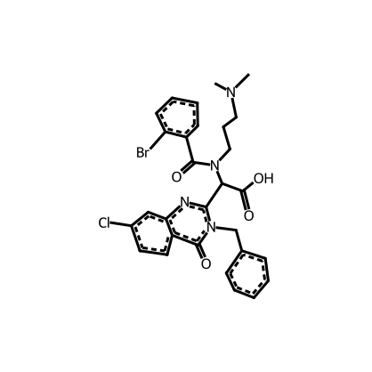 CN(C)CCCN(C(=O)c1ccccc1Br)C(C(=O)O)c1nc2cc(Cl)ccc2c(=O)n1Cc1ccccc1